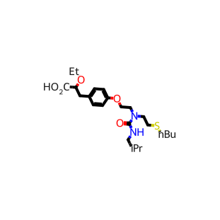 CCCCSCCN(CCOc1ccc(CC(OCC)C(=O)O)cc1)C(=O)NCC(C)C